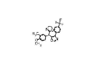 COc1ccc(C(C2=NCCO2)C2O[C]=NC2c2ccc(C(F)(F)F)cc2)cc1C